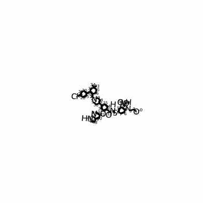 COCCNc1ccc(SNC(=O)c2ccc(C3=CCN(CC4=C(c5ccc(Cl)cc5)CC(C)(C)CC4)CC3)cc2Oc2cnc3[nH]ccc3c2)cc1[N+](=O)[O-]